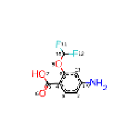 Nc1ccc(C(=O)O)c(OC(F)F)c1